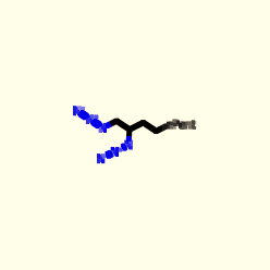 CCCCCCCC(CN=[N+]=[N-])N=[N+]=[N-]